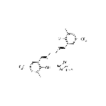 CC(=O)[O-].CC(=O)[O-].Cc1cc(C(F)(F)F)cc(C=NCCN=Cc2cc(C(F)(F)F)cc(C)c2O)c1O.[Co+2]